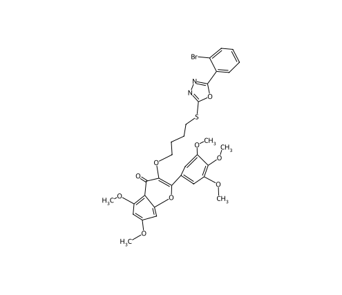 COc1cc(OC)c2c(=O)c(OCCCCSc3nnc(-c4ccccc4Br)o3)c(-c3cc(OC)c(OC)c(OC)c3)oc2c1